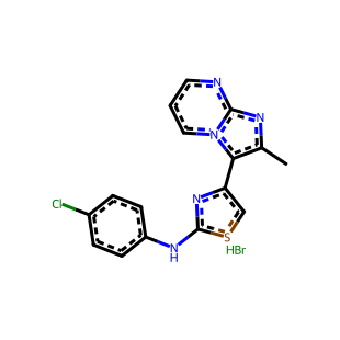 Br.Cc1nc2ncccn2c1-c1csc(Nc2ccc(Cl)cc2)n1